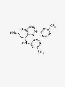 Cc1cccc(NC(CC=N)c2nn(-c3cccc(C(F)(F)F)c3)ccc2=O)c1